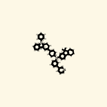 CC1(C)C2=C(CCC=C2)c2ccc(N(C3=CC=C(C4=Cc5c(n(-c6ccccc6)c6ccccc56)CC4)CC3)c3cccc(-c4cccnc4)c3)cc21